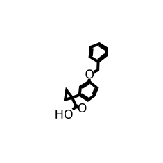 O=C(O)C1(c2cccc(OCc3ccccc3)c2)CC1